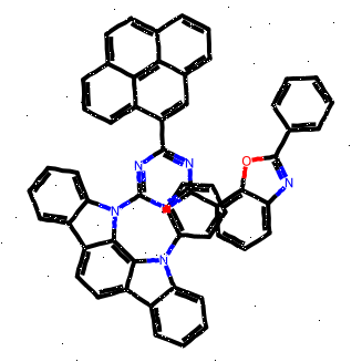 c1ccc(-c2nc3cccc(-c4nc(-c5cc6cccc7ccc8cccc5c8c76)nc(-n5c6ccccc6c6ccc7c8ccccc8n(-c8ccccc8)c7c65)n4)c3o2)cc1